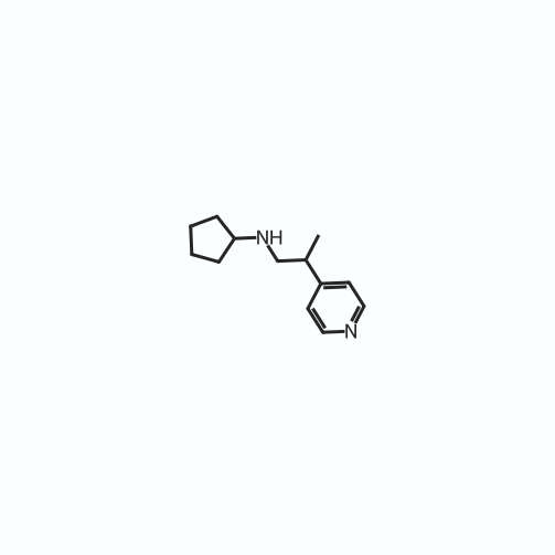 CC(CNC1CCCC1)c1ccncc1